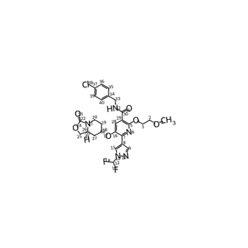 COCCOc1nc(-c2cnn(C(F)F)c2)c(O[C@H]2CCN3C(=O)OC[C@@H]3C2)cc1C(=O)NCc1ccc(Cl)cc1